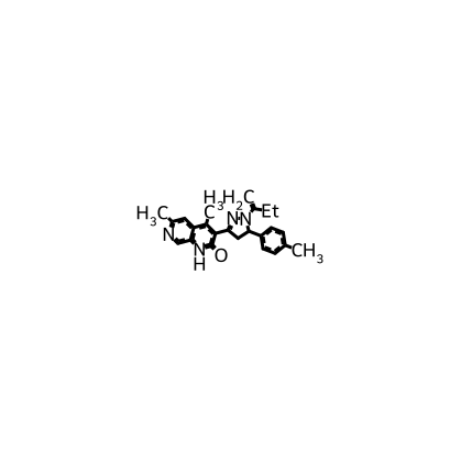 C=C(CC)N1N=C(c2c(C)c3cc(C)ncc3[nH]c2=O)CC1c1ccc(C)cc1